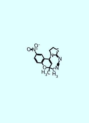 CC1(C)C=C(N2CCS/C2=N/C#N)c2cc([N+](=O)[O-])ccc2O1